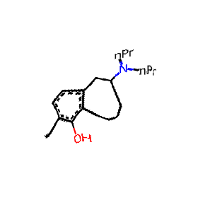 CCCN(CCC)C1CCc2c(ccc(C)c2O)C1